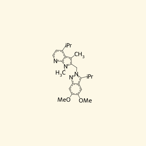 COc1cc2nn(Cc3c(C)c4c(C(C)C)ccnc4n3C)c(C(C)C)c2cc1OC